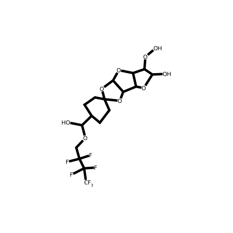 OOC1C(O)OC2C3OC4(CCC(C(O)OCC(F)(F)C(F)(F)C(F)(F)F)CC4)OC3OC12